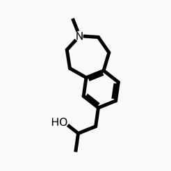 CC(O)Cc1ccc2c(c1)CCN(C)CC2